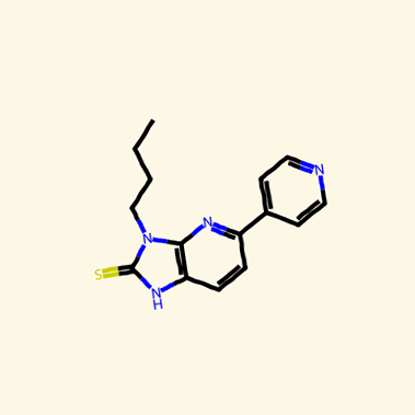 CCCCn1c(=S)[nH]c2ccc(-c3ccncc3)nc21